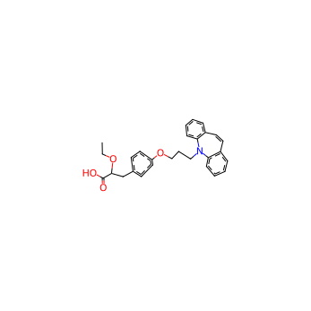 CCOC(Cc1ccc(OCCCN2c3ccccc3C=Cc3ccccc32)cc1)C(=O)O